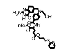 C#CCN(Cc1ccc2nc(N)[nH]c(=O)c2c1)c1ccc(C(=O)NC(CCC(=O)OCCSSc2ccccn2)C(=O)OCCCC)cc1